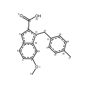 COc1ccc2cc(C(=O)O)n(Cc3ccc(C)cc3)c2c1